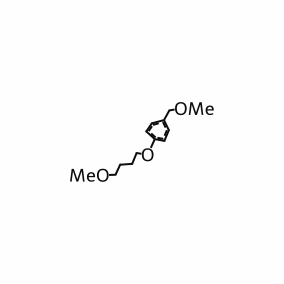 COCCCCOc1ccc(COC)cc1